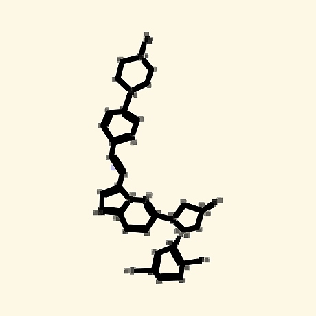 CC(C)N1CCN(c2ccc(/C=C/c3cnc4ccc(N5C[C@@H](F)C[C@@H]5c5cc(F)ccc5F)nn34)nc2)CC1